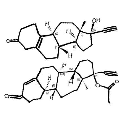 C#C[C@]1(O)CC[C@H]2[C@@H]3CCC4=C(CCC(=O)C4)[C@H]3CC[C@@]21C.C#C[C@]1(OC(C)=O)CC[C@H]2[C@@H]3CCC4=CC(=O)CC[C@@H]4[C@H]3CC[C@@]21C